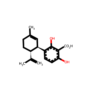 C=C(C)[C@@H]1CCC(C)=C[C@H]1c1ccc(O)c(C(=O)O)c1O